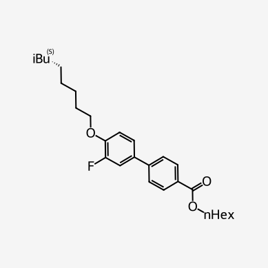 CCCCCCOC(=O)c1ccc(-c2ccc(OCCCCC[C@@H](C)CC)c(F)c2)cc1